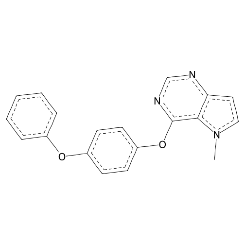 Cn1ccc2ncnc(Oc3ccc(Oc4ccccc4)cc3)c21